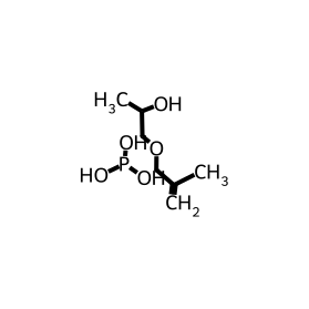 C=C(C)COCC(C)O.OP(O)O